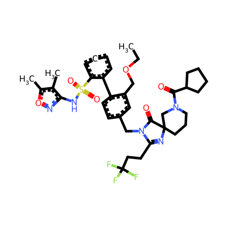 CCOCc1cc(CN2C(=O)C3(CCCN(C(=O)C4CCCC4)C3)N=C2CCC(F)(F)F)ccc1-c1ccccc1S(=O)(=O)Nc1noc(C)c1C